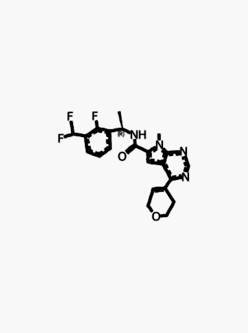 C[C@@H](NC(=O)c1cc2c(C3=CCOCC3)ncnc2n1C)c1cccc(C(F)F)c1F